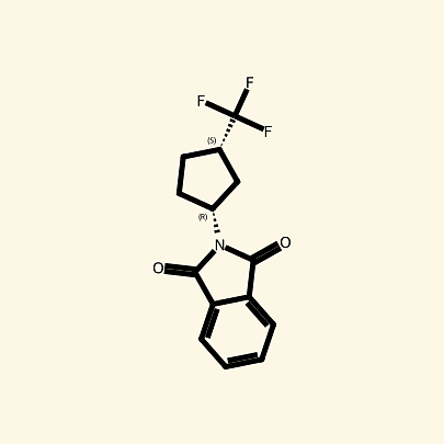 O=C1c2ccccc2C(=O)N1[C@@H]1CC[C@H](C(F)(F)F)C1